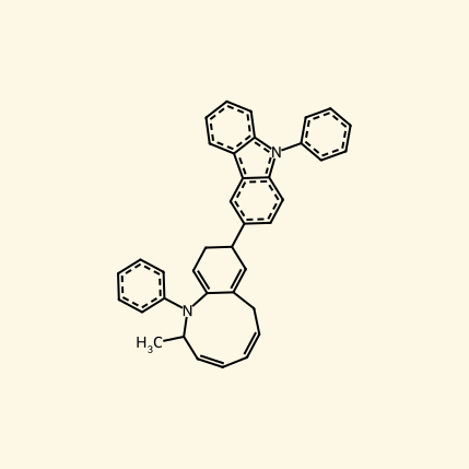 CC1/C=C\C=C/CC2=CC(c3ccc4c(c3)c3ccccc3n4-c3ccccc3)CC=C2N1c1ccccc1